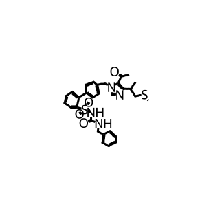 CSCC(C)c1ncn(Cc2ccc(-c3ccccc3S(=O)(=O)NC(=O)NCc3ccccc3)cc2)c1C(C)=O